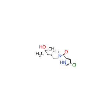 CC(C)(O)CC1CCN(C(=O)c2cc(Cl)c[nH]2)CC1